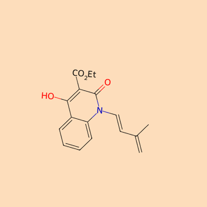 C=C(C)C=Cn1c(=O)c(C(=O)OCC)c(O)c2ccccc21